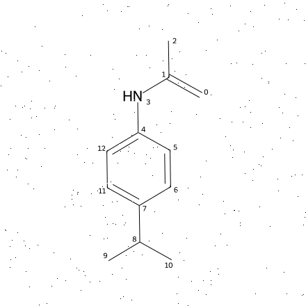 C=C(C)Nc1ccc(C(C)C)cc1